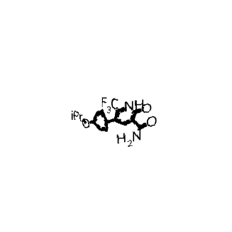 CC(C)Oc1ccc(-c2cc(C(N)=O)c(=O)[nH]c2C(F)(F)F)cc1